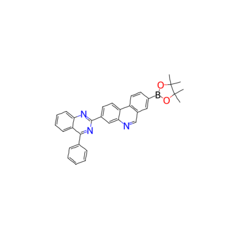 CC1(C)OB(c2ccc3c(cnc4cc(-c5nc(-c6ccccc6)c6ccccc6n5)ccc43)c2)OC1(C)C